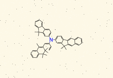 C=C/C(=C\C1=C(C)c2ccccc2C(C)(C)C1(C)C)N(c1ccc2c(c1)C(C)(C)c1ccccc1-2)c1ccc2c(c1)C(C)(C)c1cc3ccccc3cc1-2